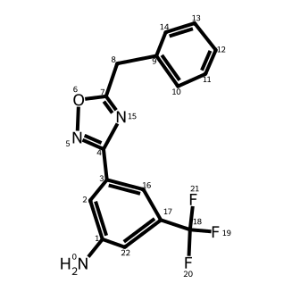 Nc1cc(-c2noc(Cc3ccccc3)n2)cc(C(F)(F)F)c1